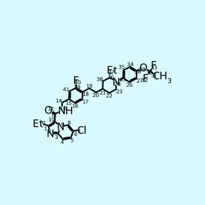 CCc1nc2ccc(Cl)cn2c1C(=O)NCc1ccc(CCC2CCN(c3ccc(OC(C)(F)F)cc3)[C@@H](CC)C2)c(F)c1